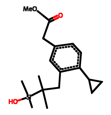 COC(=O)Cc1ccc(C2CC2)c(CC(C)(C)[Si](C)(C)O)c1